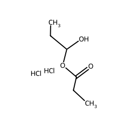 CCC(=O)OC(O)CC.Cl.Cl